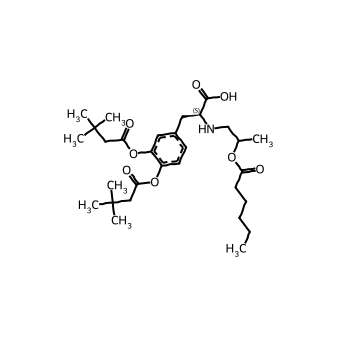 CCCCCC(=O)OC(C)CN[C@@H](Cc1ccc(OC(=O)CC(C)(C)C)c(OC(=O)CC(C)(C)C)c1)C(=O)O